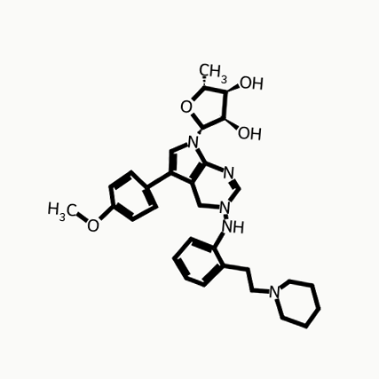 COc1ccc(-c2cn([C@@H]3O[C@H](C)[C@@H](O)[C@H]3O)c3c2CN(Nc2ccccc2CCN2CCCCC2)C=N3)cc1